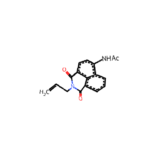 C=CCN1C(=O)c2cccc3c(NC(C)=O)ccc(c23)C1=O